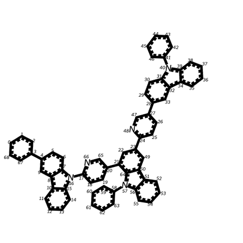 c1ccc(-c2ccc3c(c2)c2ccccc2n3-c2ccc(-c3cc(-c4ccc(-c5ccc6c(c5)c5ccccc5n6-c5ccccc5)cn4)cc4c5ccccc5n(-c5ccccc5)c34)cn2)cc1